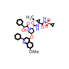 C=C[C@@H]1C[C@]1(NC(=O)[C@@H]1C[C@@H](Oc2cc(-c3ccccc3)nc3cc(OC)ccc23)CN1C(=O)[C@@H](O)c1ccccc1)C(=O)NS(=O)(=O)C1CC1